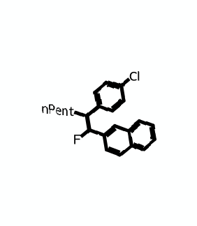 CCCCCC(c1ccc(Cl)cc1)C(F)c1ccc2ccccc2c1